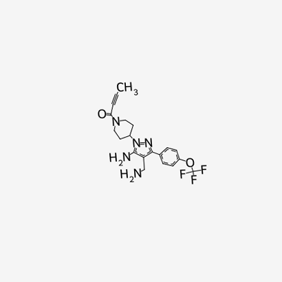 CC#CC(=O)N1CCC(n2nc(-c3ccc(OC(F)(F)F)cc3)c(CN)c2N)CC1